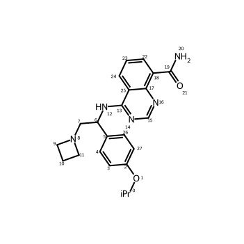 CC(C)Oc1ccc(C(CN2CCC2)Nc2ncnc3c(C(N)=O)cccc23)cc1